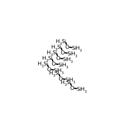 [SiH3]O[SiH3].[SiH3]O[SiH3].[SiH3]O[SiH3].[SiH3]O[SiH3].[SiH3]O[SiH3].[SiH3]O[SiH3].[SiH3]O[SiH3]